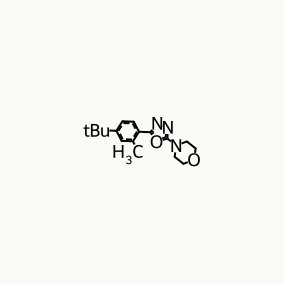 Cc1cc(C(C)(C)C)ccc1-c1nnc(N2CCOCC2)o1